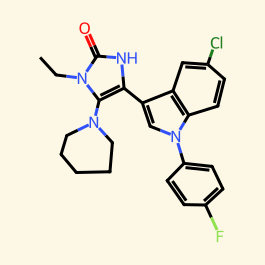 CCn1c(N2CCCCC2)c(-c2cn(-c3ccc(F)cc3)c3ccc(Cl)cc23)[nH]c1=O